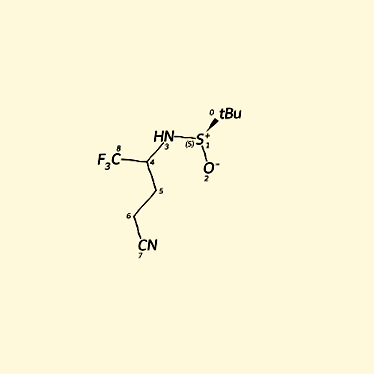 CC(C)(C)[S@@+]([O-])NC(CCC#N)C(F)(F)F